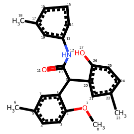 COc1ccc(C)cc1C(C(=O)Nc1cccc(C)c1)c1cc(C)ccc1O